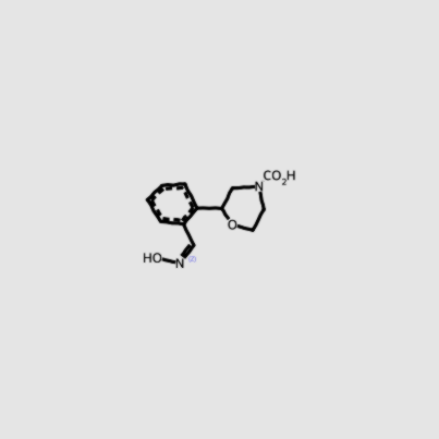 O=C(O)N1CCOC(c2ccccc2/C=N\O)C1